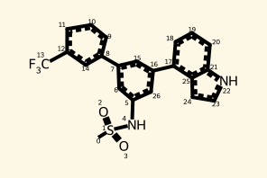 CS(=O)(=O)Nc1cc(-c2cccc(C(F)(F)F)c2)cc(-c2cccc3[nH]ccc23)c1